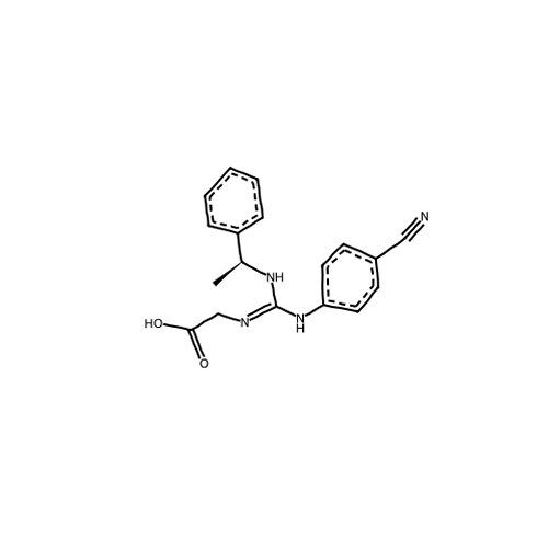 C[C@H](N/C(=N\CC(=O)O)Nc1ccc(C#N)cc1)c1ccccc1